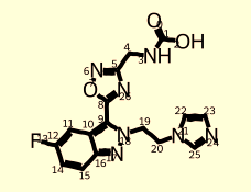 O=C(O)NCc1noc(-c2c3cc(F)ccc3nn2CCn2ccnc2)n1